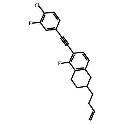 C=CCCC1CCc2c(ccc(C#Cc3ccc(Cl)c(F)c3)c2F)C1